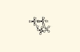 CC[N+](CC)(CC)CC.CC[N+](CC)(CC)CC.O=S(=O)([O-])OS(=O)(=O)O[O-]